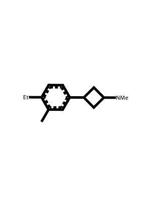 CCc1ccc(C2CC(NC)C2)cc1C